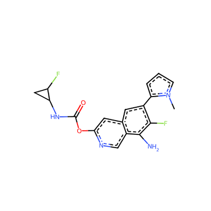 Cn1cccc1-c1cc2cc(OC(=O)NC3CC3F)ncc2c(N)c1F